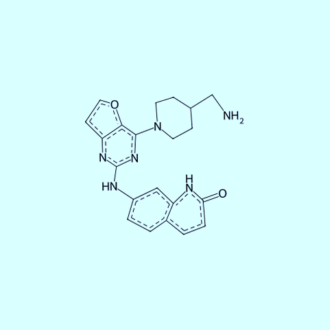 NCC1CCN(c2nc(Nc3ccc4ccc(=O)[nH]c4c3)nc3ccoc23)CC1